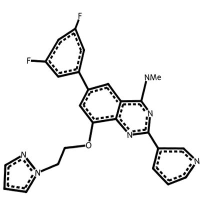 CNc1nc(-c2cccnc2)nc2c(OCCn3cccn3)cc(-c3cc(F)cc(F)c3)cc12